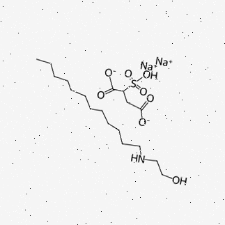 CCCCCCCCCCCCNCCO.O=C([O-])CC(C(=O)[O-])S(=O)(=O)O.[Na+].[Na+]